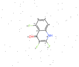 O=c1c(F)c(F)[nH]c2cccc(F)c12